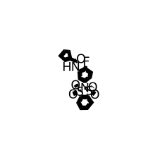 O=C(Nc1cc(N2S(=O)(=O)c3ccccc3S2(=O)=O)ccc1F)C1=CC=CC1